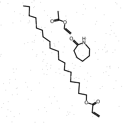 C=CC(=O)OCCCCCCCCCCCCCCCCCC.C=COC(C)=O.O=C1CCCCCN1